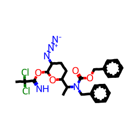 CC(C1CCC(N=[N+]=[N-])C(OC(=N)C(C)(Cl)Cl)O1)N(Cc1ccccc1)C(=O)OCc1ccccc1